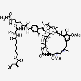 C=C(CBr)C(=O)OCCCCCC(=O)N[C@H](C(=O)N[C@@H](CCCNC(N)=O)C(=O)Nc1ccc(C(=O)N(C)[C@@H](C)C(=O)O[C@H]2CC(=O)N(C)c3cc(cc(OC)c3Cl)C/C(C)=C/C=C/[C@@H](OC)[C@@]3(O)C[C@H](OC(=O)N3)[C@@H](C)[C@@H]3O[C@@]23C)c(F)c1)C(C)C